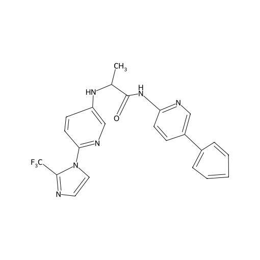 CC(Nc1ccc(-n2ccnc2C(F)(F)F)nc1)C(=O)Nc1ccc(-c2ccccc2)cn1